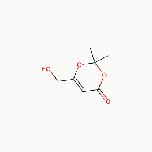 CC1(C)OC(=O)C=C(CO)O1